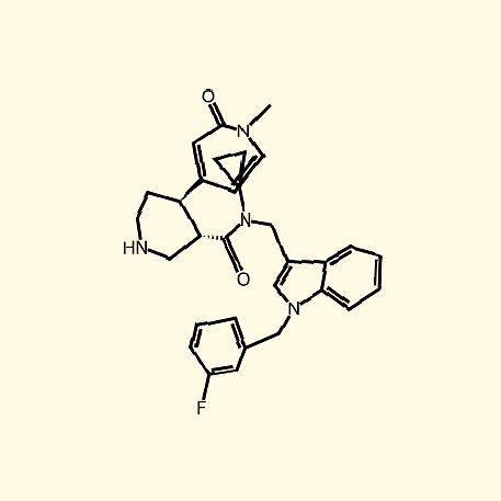 Cn1ccc([C@@H]2CCNC[C@H]2C(=O)N(Cc2cn(Cc3cccc(F)c3)c3ccccc23)C2CC2)cc1=O